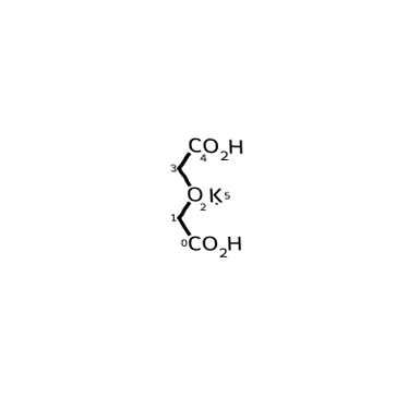 O=C(O)COCC(=O)O.[K]